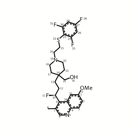 COc1ccc2ncc(C)c([C@@H](F)CCC3(CO)CCN(CCSc4c(F)cc(F)cc4F)CC3)c2c1